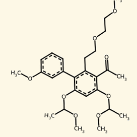 COCCOCCc1c(C(C)=O)c(OC(C)OC)cc(OC(C)OC)c1-c1cccc(OC)c1